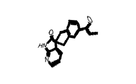 CCC(=O)c1ccc2c(c1)CC1(C2)C(=O)Nc2ncccc21